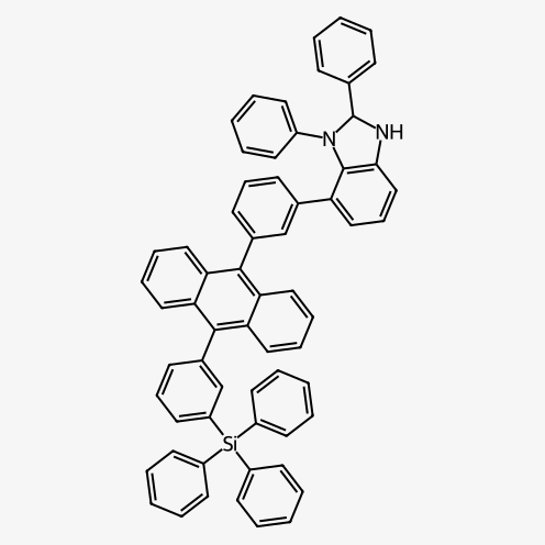 c1ccc(C2Nc3cccc(-c4cccc(-c5c6ccccc6c(-c6cccc([Si](c7ccccc7)(c7ccccc7)c7ccccc7)c6)c6ccccc56)c4)c3N2c2ccccc2)cc1